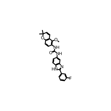 COc1c(NC(=O)Nc2ccc3[nH]c(-c4cccc(F)c4)nc3c2)ccc2c1C=CC(C)(C)O2